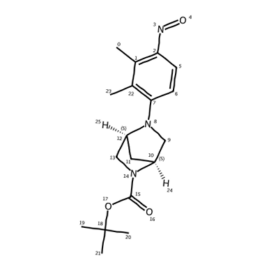 Cc1c(N=O)ccc(N2C[C@@H]3C[C@H]2CN3C(=O)OC(C)(C)C)c1C